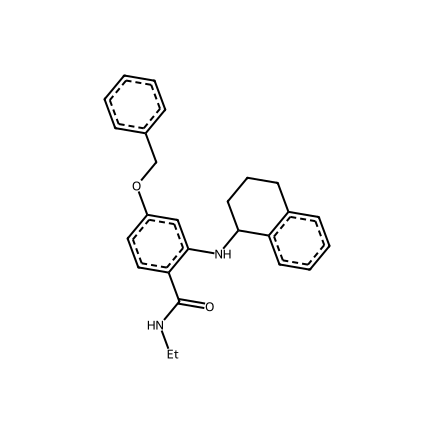 CCNC(=O)c1ccc(OCc2ccccc2)cc1NC1CCCc2ccccc21